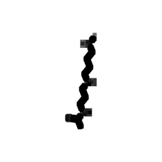 CC(=O)NCCCNCCCCNI